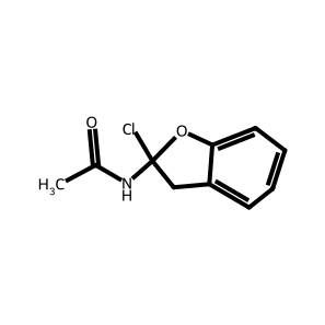 CC(=O)NC1(Cl)Cc2ccccc2O1